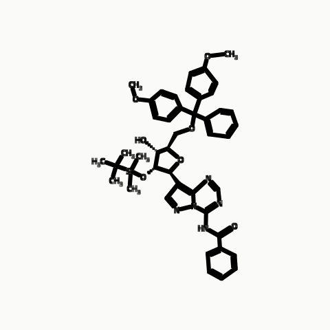 COc1ccc(C(OC[C@H]2O[C@@H](c3cnn4c(NC(=O)c5ccccc5)ncnc34)[C@H](O[Si](C)(C)C(C)(C)C)[C@@H]2O)(c2ccccc2)c2ccc(OC)cc2)cc1